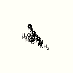 CC(C)(C)Sc1c(CC(C)(C)C(=O)O)n(Cc2ccc(-c3cnc(N)cn3)cc2)c2ccc(OCc3ccccn3)cc12